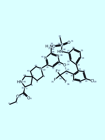 CCOC(=O)[C@@H]1CC2(CCN(c3cc(O[C@H](c4ccc(Cl)cc4-c4cccc(NS(C)(=O)=O)c4)C(F)(F)F)nc(N)n3)CC2)CN1